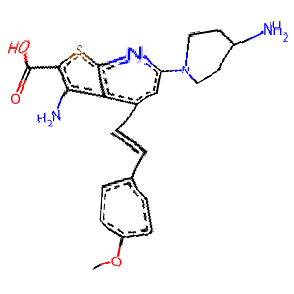 COc1ccc(C=Cc2cc(N3CCC(N)CC3)nc3sc(C(=O)O)c(N)c23)cc1